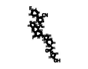 CN(c1nc(-c2ccc(F)cc2)c(C#N)s1)c1c2c(nc3c(F)cc(N4CCC5(CCN(CC(=O)N6CC(O)C6)CC5)C4)cc13)CCC2